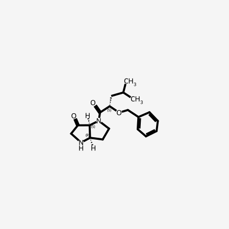 CC(C)C[C@H](OCc1ccccc1)C(=O)N1CC[C@H]2NCC(=O)[C@H]21